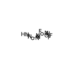 C[C@H]1CNCCN1c1cccc(-c2cn(Cc3ccc(-c4nnc(C(F)F)o4)cc3F)nn2)c1